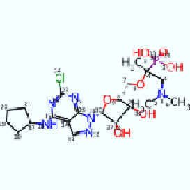 CN(C)CC(C)(OC[C@H]1O[C@@H](n2ncc3c(NC4CCCC4)nc(Cl)nc32)[C@H](O)[C@@H]1O)P(=O)(O)O